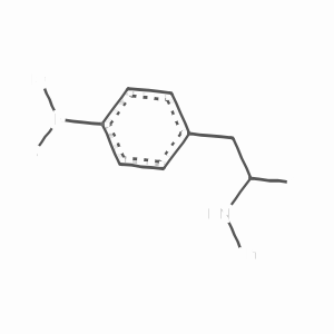 CC(C)NC(C)Cc1ccc(B(O)O)cc1